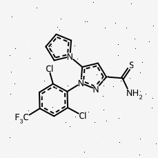 NC(=S)c1cc(-n2cccc2)n(-c2c(Cl)cc(C(F)(F)F)cc2Cl)n1